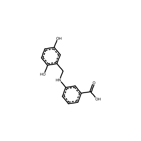 O=C(O)c1cccc(NCc2cc(O)ccc2O)c1